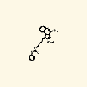 CCCCCc1nc2c(N)nc3ccccc3c2n1CCCCNC(=O)Nc1ccccc1